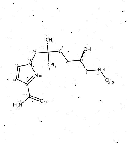 CNC[C@H](O)COC(C)(C)Cn1ccc(C(N)=O)n1